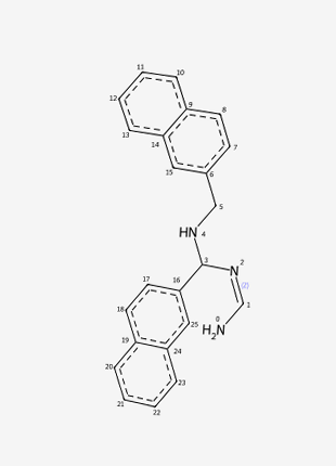 N/C=N\C(NCc1ccc2ccccc2c1)c1ccc2ccccc2c1